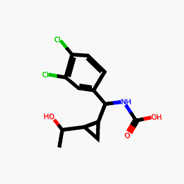 CC(O)C1CC1C(NC(=O)O)c1ccc(Cl)c(Cl)c1